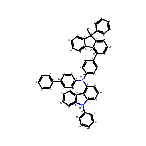 CC1(c2ccccc2)c2ccccc2-c2c(-c3ccc(N(c4ccc(-c5ccccc5)cc4)c4cccc5c4c4ccccc4n5-c4ccccc4)cc3)cccc21